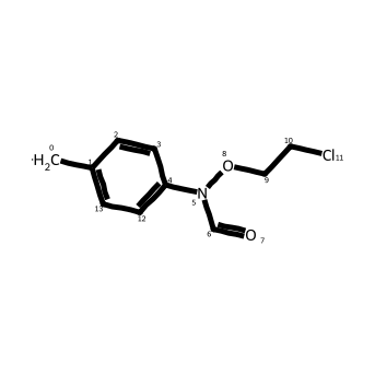 [CH2]c1ccc(N(C=O)OCCCl)cc1